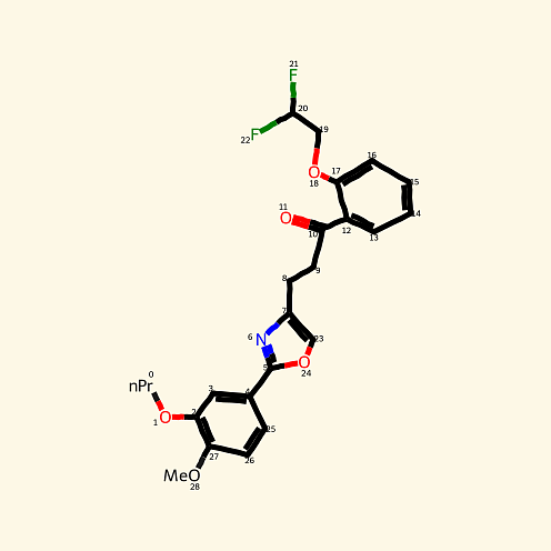 CCCOc1cc(-c2nc(CCC(=O)c3ccccc3OCC(F)F)co2)ccc1OC